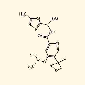 Cc1nnc(C(NC(=O)c2cc(O[C@@H](C)C(F)(F)F)c(C3(F)COC3)cn2)C(C)(C)C)o1